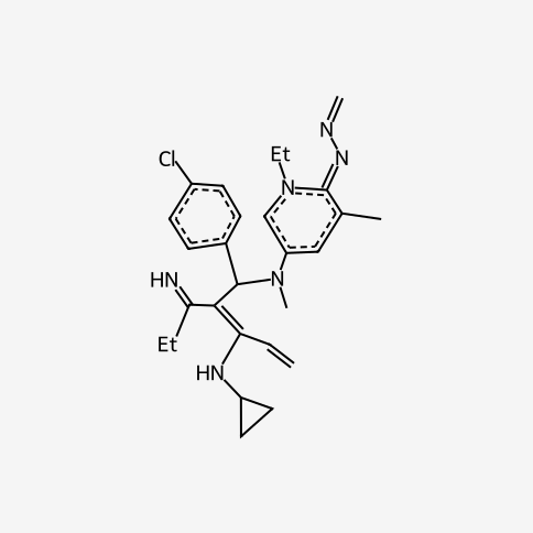 C=C/C(NC1CC1)=C(/C(=N)CC)C(c1ccc(Cl)cc1)N(C)c1cc(C)/c(=N/N=C)n(CC)c1